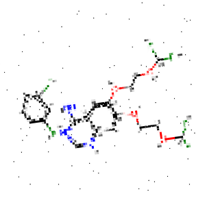 Fc1cccc(F)c1Nc1ncnc2cc(OCCOC(F)F)c(OCCOC(F)F)cc12